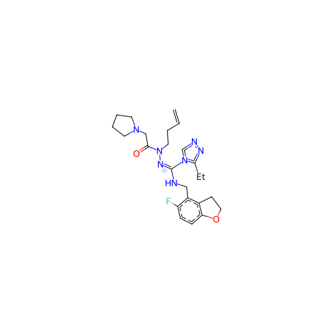 C=CCCN(/N=C(/NCc1c(F)ccc2c1CCO2)n1cnnc1CC)C(=O)CN1CCCC1